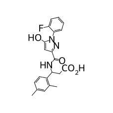 Cc1ccc(C(CC(=O)O)NC(=O)c2cc(O)n(-c3ccccc3F)n2)c(C)c1